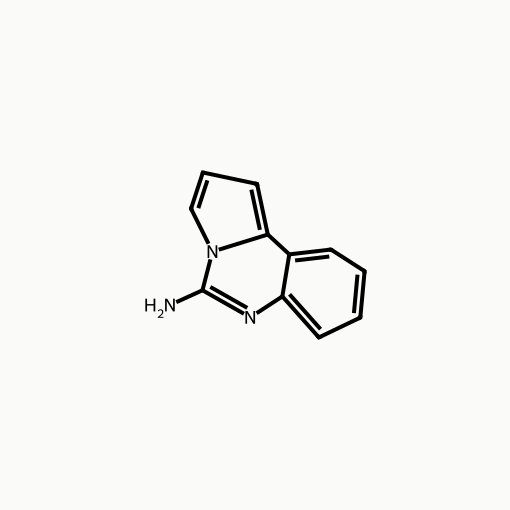 Nc1nc2ccccc2c2cccn12